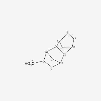 O=C(O)C1CC2CC1C1C3CCC(C3)C21